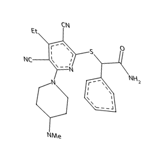 CCc1c(C#N)c(SC(C(N)=O)c2ccccc2)nc(N2CCC(NC)CC2)c1C#N